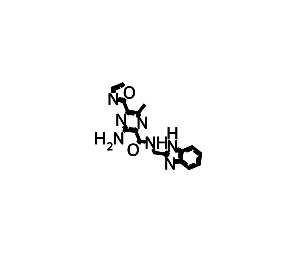 Cc1nc(C(=O)NCc2nc3ccccc3[nH]2)c(N)nc1-c1ncco1